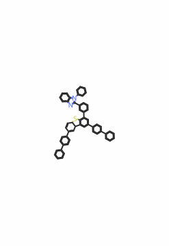 C1=CC2Sc3c(-c4cccc(-c5nc6ccccc6n5-c5ccccc5)c4)cc(-c4ccc(-c5ccccc5)cc4)cc3C2C=C1c1ccc(-c2ccccc2)cc1